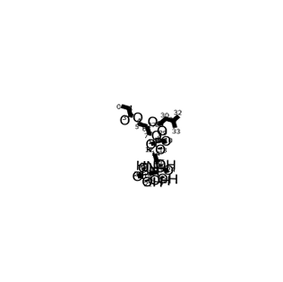 CCC(=O)OCC(COP(=O)(OC)OCCNC(O)(P(=O)(O)O)P(=O)(O)O)OC(=O)CC(C)C